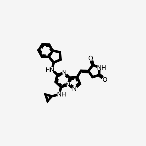 O=C1C/C(=C\c2cnn3c(NC4CC4)cc(NC4CCc5ccccc54)nc23)C(=O)N1